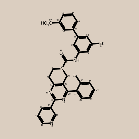 CCc1cc(NC(=O)N2CCc3nc(-c4cccnc4)nc(-c4ccccc4C)c3C2)cc(-c2cccc(C(=O)O)c2)c1